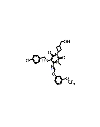 Cn1c(/N=C/Oc2cccc(OC(F)(F)F)c2)c(NCc2ccc(Cl)cc2)c(=O)n(C2CC(CO)C2)c1=O